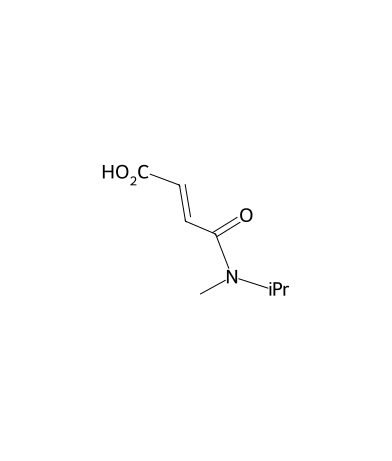 CC(C)N(C)C(=O)/C=C/C(=O)O